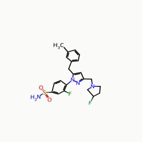 Cc1cccc(Cc2cc(CN3CCC(F)C3)nn2-c2ccc(S(N)(=O)=O)cc2F)c1